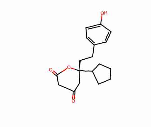 O=C1CC(=O)O[C@](CCc2ccc(O)cc2)(C2CCCC2)C1